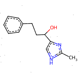 Cc1nc(C(O)CCc2ccccc2)c[nH]1